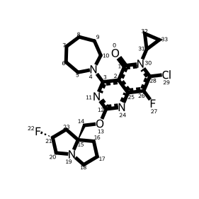 O=c1c2c(N3CCCCCC3)nc(OC[C@@]34CCCN3C[C@H](F)C4)nc2c(F)c(Cl)n1C1CC1